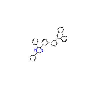 c1ccc(-c2cnc3c4cc(-c5cccc(-c6cc7ccccc7c7ccccc67)c5)ccc4c4ccccc4c3n2)cc1